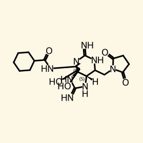 N=C1N[C@H]2C(CN3C(=O)CCC3=O)NC(=N)N3CC(NC(=O)C4CCCCC4)C(O)(O)[C@]23N1